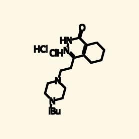 CCC(C)N1CCN(CCc2n[nH]c(=O)c3c2CCCC3)CC1.Cl.Cl